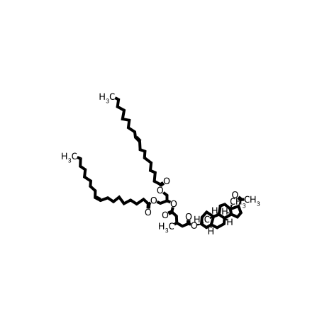 CCCCCCCCC=CCCCCCCCC(=O)OCC(COC(=O)CCCCCCC/C=C\CCCCCCCC)OC(=O)CC(C)CC(=O)O[C@H]1CC[C@@]2(C)[C@@H](CC[C@@H]3[C@@H]2CC[C@]2(C)[C@@H](C(C)=O)CC[C@@H]32)C1